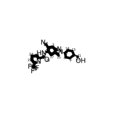 N#Cc1cc2nn([C@H]3CC[C@H](CO)CC3)cc2cc1NC(=O)c1cccc(C(F)(F)F)n1